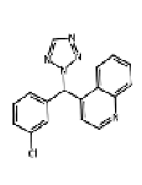 Clc1cccc(C(c2ccnc3ccccc23)n2ncnn2)c1